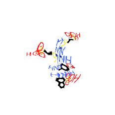 COc1cc(NNc2ccc3ccccc3c2S(=O)(=O)O)c(C=N)cc1NC1=NC(SCCCS(=O)(=O)O)NC(SCCCS(=O)(=O)O)N1